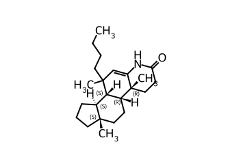 CCCCC1(C)C=C2NC(=O)CC[C@]2(C)[C@@H]2CC[C@]3(C)CCC[C@H]3[C@@H]21